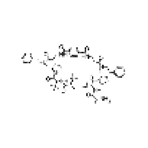 CN[C@@H](C)C(=O)N[C@H](C(=O)N1CCC[C@H]1CN(CCc1ccccc1)C(=O)CCNC(=O)c1ccc(C(=O)NCCC(=O)N(CCc2ccccc2)C[C@@H]2CCCN2C(=O)[C@@H](NC(=O)[C@H](C)N)C(C)(C)C)cc1)C(C)(C)C